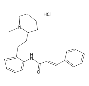 CN1CCCCC1CCc1ccccc1NC(=O)C=Cc1ccccc1.Cl